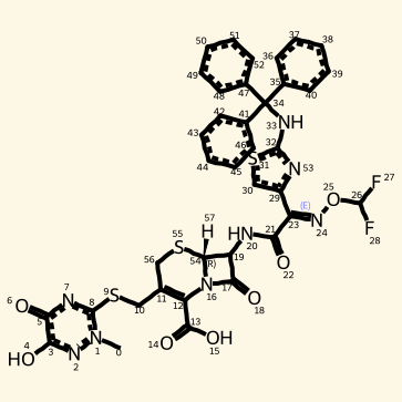 Cn1nc(O)c(=O)nc1SCC1=C(C(=O)O)N2C(=O)C(NC(=O)/C(=N/OC(F)F)c3csc(NC(c4ccccc4)(c4ccccc4)c4ccccc4)n3)[C@H]2SC1